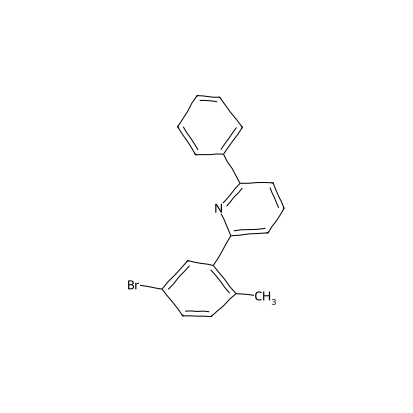 Cc1ccc(Br)cc1-c1cccc(-c2ccccc2)n1